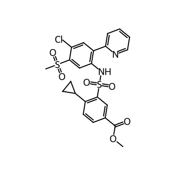 COC(=O)c1ccc(C2CC2)c(S(=O)(=O)Nc2cc(S(C)(=O)=O)c(Cl)cc2-c2ccccn2)c1